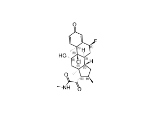 CNC(=O)C(=O)[C@H]1[C@H](C)C[C@H]2[C@@H]3C[C@H](F)C4=CC(=O)C=C[C@]4(C)[C@@]3(Cl)[C@@H](O)C[C@@]21C